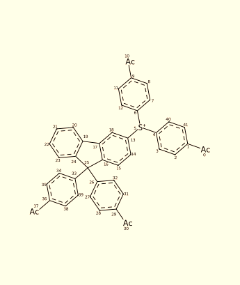 CC(=O)c1ccc([S+](c2ccc(C(C)=O)cc2)c2ccc3c(c2)-c2ccccc2C3(c2ccc(C(C)=O)cc2)c2ccc(C(C)=O)cc2)cc1